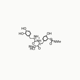 CNC(=O)Oc1cc(C[C@H](NC(=O)[C@@H](N)Cc2ccc(O)c(O)c2)C(=O)OC)ccc1O.Cl